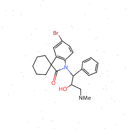 CNCC(O)C(c1ccccc1)N1C(=O)C2(CCCCC2)c2cc(Br)ccc21